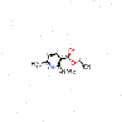 CNc1nc(C)ccc1C(=O)OCC#N